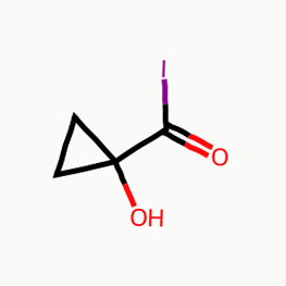 O=C(I)C1(O)CC1